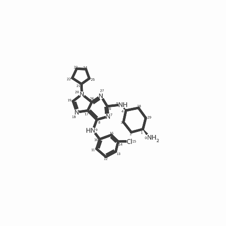 N[C@H]1CC[C@H](Nc2nc(Nc3cccc(Cl)c3)c3ncn(C4CCCC4)c3n2)CC1